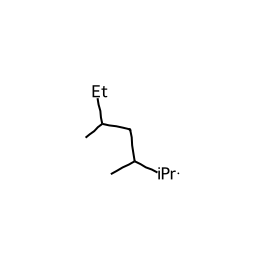 CCC(C)CC(C)[C](C)C